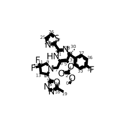 COC(=O)OC1=C(CN2CC(F)(F)C[C@H]2c2nnc(C)o2)NC(c2nccs2)=N[C@@]1(C)c1ccc(F)cc1